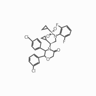 O=C1COC(c2cccc(Cl)c2)C(c2ccc(Cl)cc2)N1[C@H](CN(c1c(F)cccc1F)S(=O)(=O)C1CC1)C1CC1